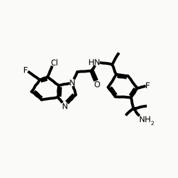 CC(NC(=O)Cn1cnc2ccc(F)c(Cl)c21)c1ccc(C(C)(C)N)c(F)c1